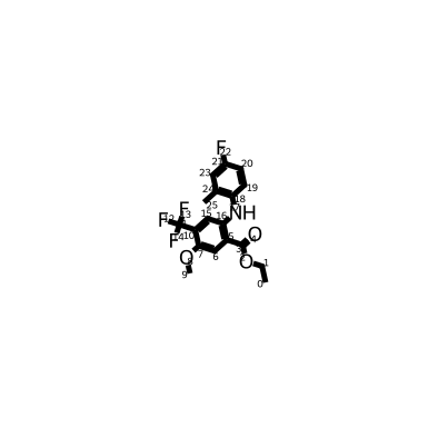 CCOC(=O)c1cc(OC)c(C(F)(F)F)cc1Nc1ccc(F)cc1C